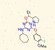 CCC(Oc1nc(NC2CCCCCC2)nc(Oc2ccc(OC)c(F)c2)n1)C1CCCN1